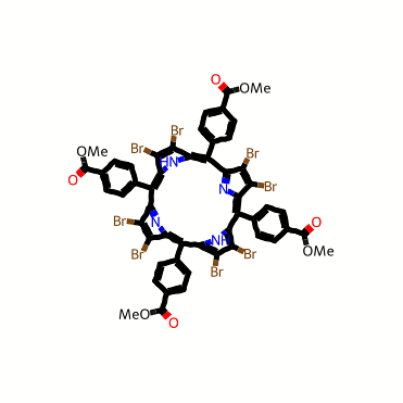 COC(=O)c1ccc(-c2c3nc(c(-c4ccc(C(=O)OC)cc4)c4[nH]c(c(Br)c4Br)c(-c4ccc(C(=O)OC)cc4)c4nc(c(-c5ccc(C(=O)OC)cc5)c5[nH]c2c(Br)c5Br)C(Br)=C4Br)C(Br)=C3Br)cc1